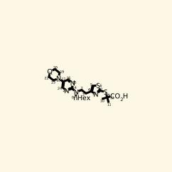 CCCCCCN(CCc1csc(SC(C)(C)C(=O)O)n1)c1ncc(N2CCOCC2)cn1